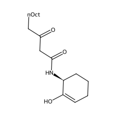 CCCCCCCCCC(=O)CC(=O)N[C@H]1CCCC=C1O